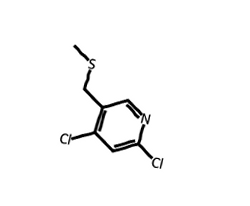 CSCc1cnc(Cl)cc1Cl